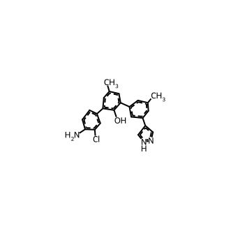 Cc1cc(-c2cn[nH]c2)cc(-c2cc(C)cc(-c3ccc(N)c(Cl)c3)c2O)c1